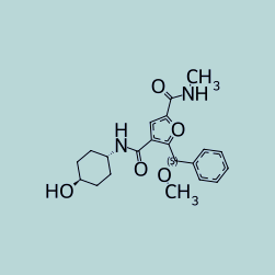 CNC(=O)c1cc(C(=O)N[C@H]2CC[C@H](O)CC2)c([C@@H](OC)c2ccccc2)o1